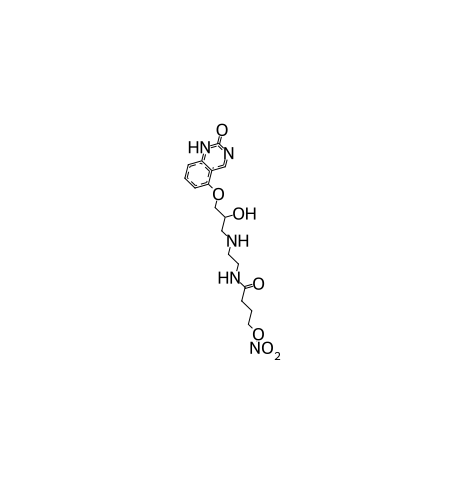 O=C(CCCO[N+](=O)[O-])NCCNCC(O)COc1cccc2[nH]c(=O)ncc12